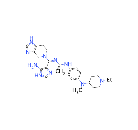 C=C(/N=C(\c1nc[nH]c1N)N1CCc2[nH]cnc2C1)Nc1ccc(N(C)C2CCN(CC)CC2)cc1